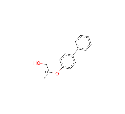 C[C@H](CO)Oc1ccc(-c2ccccc2)cc1